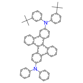 CC(C)(C)c1cccc(N(c2cccc(C(C)(C)C)c2)c2ccc3c(c2)c2ccccc2c2c4ccc(N(c5ccccc5)c5ccccc5)cc4c4ccccc4c32)c1